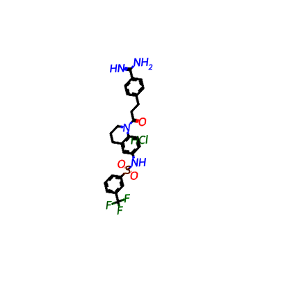 Cl.N=C(N)c1ccc(CCC(=O)N2CCCc3cc(NS(=O)(=O)c4cccc(C(F)(F)F)c4)ccc32)cc1